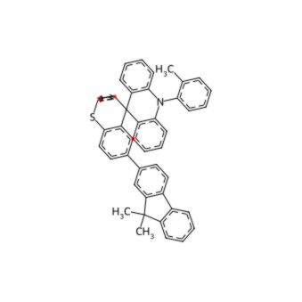 Cc1ccccc1N1c2ccccc2C2(c3ccccc3Sc3ccc(-c4ccc5c(c4)C(C)(C)c4ccccc4-5)cc32)c2ccccc21